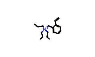 C=Cc1ccccc1C[N+](CCC)(CCC)CCC